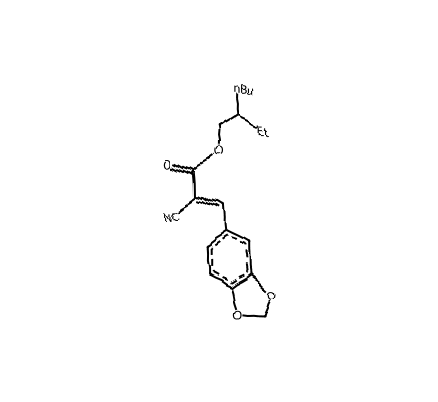 CCCCC(CC)COC(=O)/C(C#N)=C/c1ccc2c(c1)OCO2